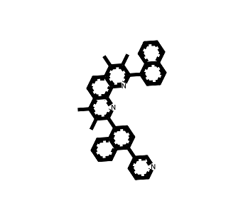 Cc1c(-c2cccc3ccccc23)nc2c(ccc3c(C)c(C)c(-c4ccc(-c5cccnc5)c5ccccc45)nc32)c1C